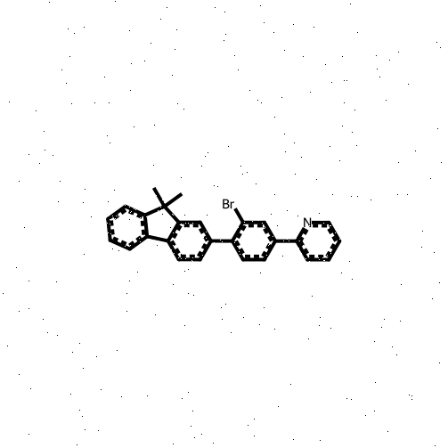 CC1(C)c2ccccc2-c2ccc(-c3ccc(-c4ccccn4)cc3Br)cc21